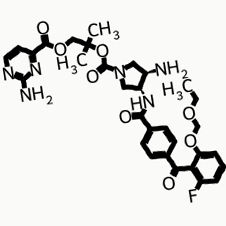 CCOCOc1cccc(F)c1C(=O)c1ccc(C(=O)N[C@@H]2CN(C(=O)OC(C)(C)COC(=O)c3ccnc(N)n3)C[C@H]2N)cc1